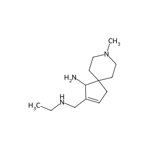 CCNCC1=CCC2(CCN(C)CC2)C1N